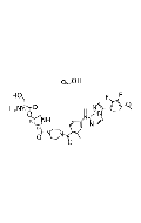 COc1ccc(-c2cnc3c(Nc4ccc(C(=O)N5CCN(C(=O)[C@@H]6C[C@@H](OC(=O)[C@@H](N)CO)CN6)CC5)c(C)c4)nccn23)c(F)c1F.O=CO